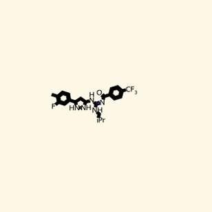 Cc1ccc(C2CC(N/C(=N\C(=O)c3ccc(C(F)(F)F)cc3)NCC(C)C)NN2)cc1F